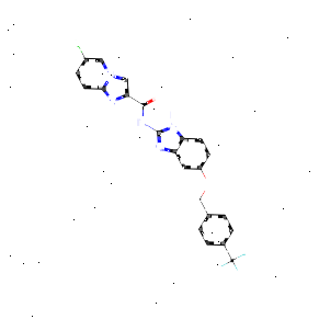 O=C(Nc1nc2cc(OCc3ccc(C(F)(F)F)cc3)ccc2[nH]1)c1cn2cc(Cl)ccc2n1